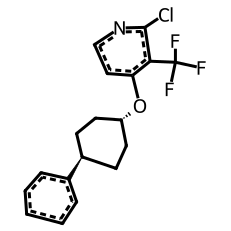 FC(F)(F)c1c(O[C@H]2CC[C@H](c3ccccc3)CC2)ccnc1Cl